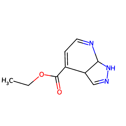 CCOC(=O)C1=CC=NC2NN=CC12